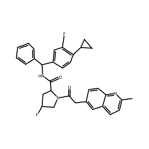 Cc1ccc2cc(CC(=O)N3CC(F)CC3C(=O)NC(c3ccccc3)c3ccc(C4CC4)c(F)c3)ccc2n1